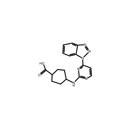 O=C(O)C1CCC(Nc2nccc(-n3nnc4ccccc43)n2)CC1